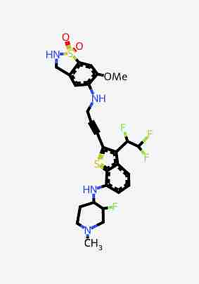 COc1cc2c(cc1NCC#Cc1sc3c(NC4CCN(C)CC4F)cccc3c1C(F)C(F)F)CNS2(=O)=O